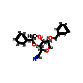 CO[C@H]1[C@H](OCc2ccccc2)COC(C#N)[C@@H]1OCc1ccccc1